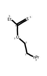 CCCCCOC(=S)CC